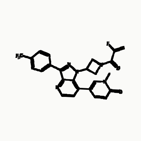 C=C(F)C(=O)N1CC(n2nc(-c3ccc(C(F)(F)F)cc3)c3nccc(-c4ccc(=O)n(C)c4)c32)C1